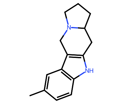 Cc1ccc2[nH]c3c(c2c1)CN1CCCC1C3